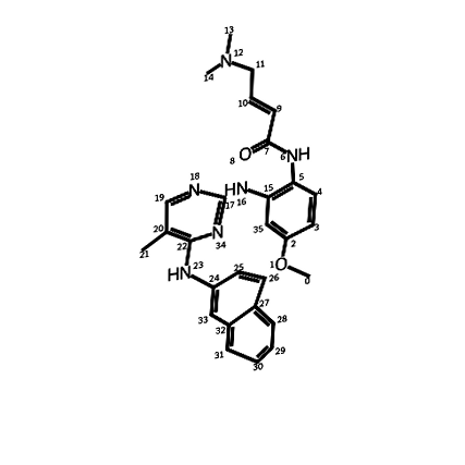 COc1ccc(NC(=O)/C=C/CN(C)C)c(Nc2ncc(C)c(Nc3ccc4ccccc4c3)n2)c1